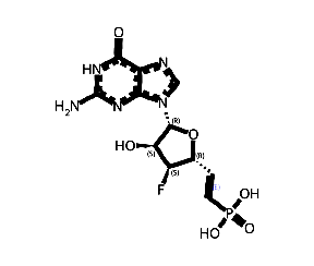 Nc1nc2c(ncn2[C@@H]2O[C@H](/C=C/P(=O)(O)O)[C@@H](F)[C@H]2O)c(=O)[nH]1